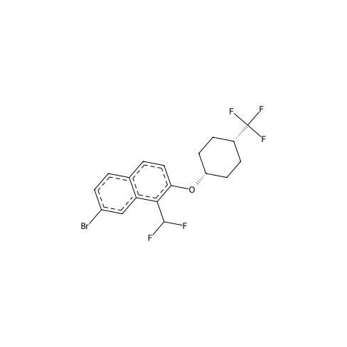 FC(F)c1c(O[C@H]2CC[C@@H](C(F)(F)F)CC2)ccc2ccc(Br)cc12